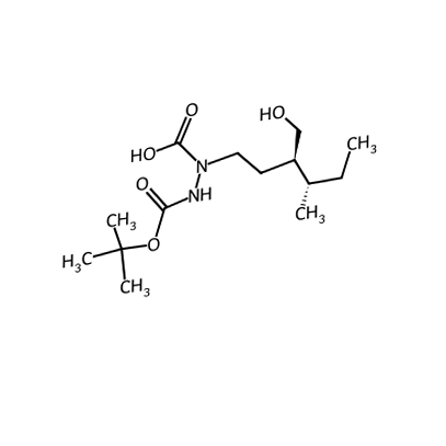 CC[C@H](C)[C@H](CO)CCN(NC(=O)OC(C)(C)C)C(=O)O